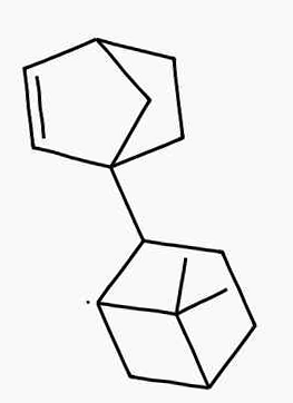 CC1(C)[C]2CC1CCC2C12C=CC(CC1)C2